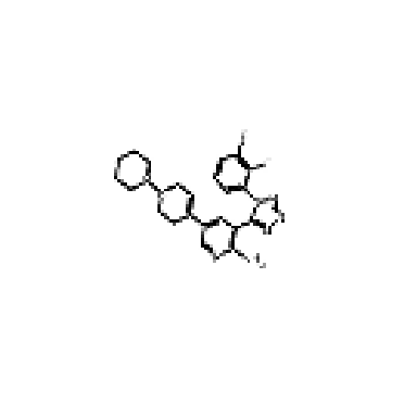 Nc1ncc(C2=CCN(N3C[CH]CCC3)CC2)cc1-c1nnnn1-c1cccc(F)c1F